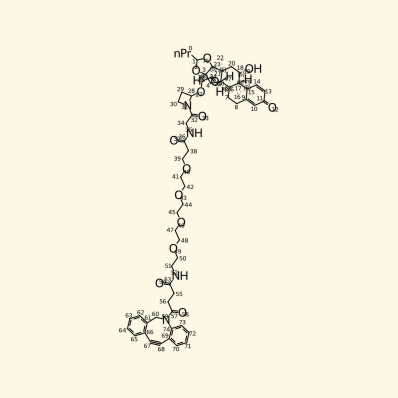 CCCC1O[C@@H]2C[C@H]3[C@@H]4CCC5=CC(=O)C=C[C@]5(C)[C@H]4[C@@H](O)C[C@]3(C)[C@]2(C(=O)COC2CCN2C(=O)CNC(=O)CCOCCOCCOCCOCCNC(=O)CCC(=O)N2Cc3ccccc3C#Cc3ccccc32)O1